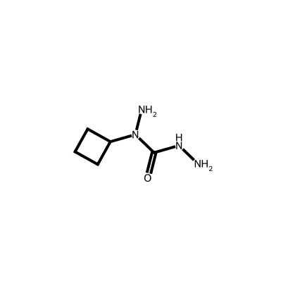 NNC(=O)N(N)C1CCC1